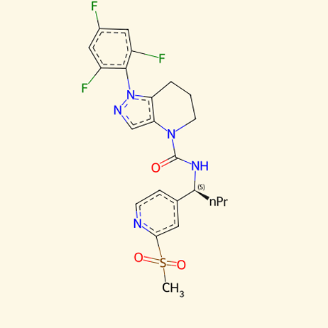 CCC[C@H](NC(=O)N1CCCc2c1cnn2-c1c(F)cc(F)cc1F)c1ccnc(S(C)(=O)=O)c1